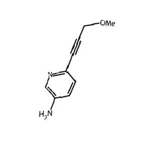 COCC#Cc1ccc(N)cn1